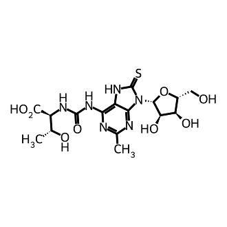 Cc1nc(NC(=O)N[C@H](C(=O)O)[C@@H](C)O)c2[nH]c(=S)n([C@@H]3O[C@H](CO)[C@@H](O)[C@H]3O)c2n1